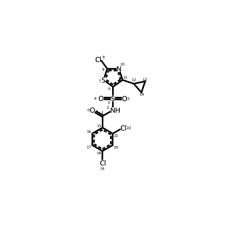 O=C(NS(=O)(=O)c1sc(Cl)nc1C1CC1)c1ccc(Cl)cc1Cl